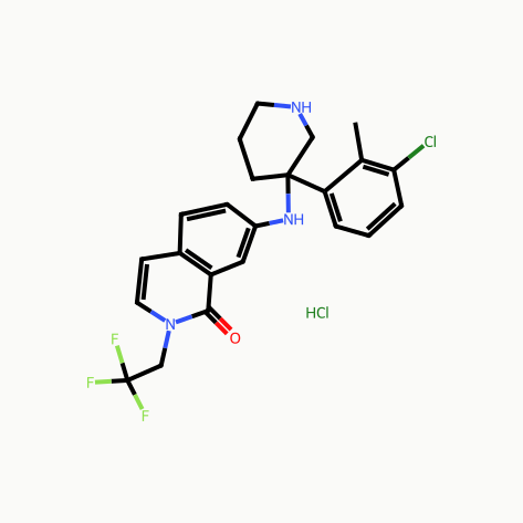 Cc1c(Cl)cccc1C1(Nc2ccc3ccn(CC(F)(F)F)c(=O)c3c2)CCCNC1.Cl